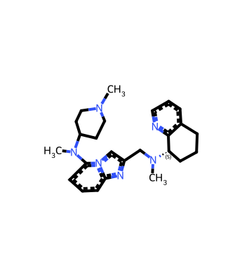 CN1CCC(N(C)c2cccc3nc(CN(C)[C@H]4CCCc5cccnc54)cn23)CC1